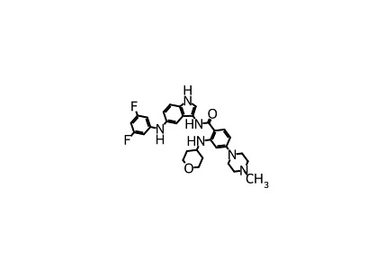 CN1CCN(c2ccc(C(=O)Nc3c[nH]c4ccc(Nc5cc(F)cc(F)c5)cc34)c(NC3CCOCC3)c2)CC1